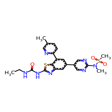 CCNC(=O)Nc1nc2cc(-c3cnc(N(C)S(C)(=O)=O)nc3)cc(-c3ccc(C)cn3)c2s1